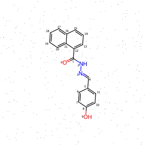 O=C(NN=Cc1ccc(O)cc1)c1cccc2ccccc12